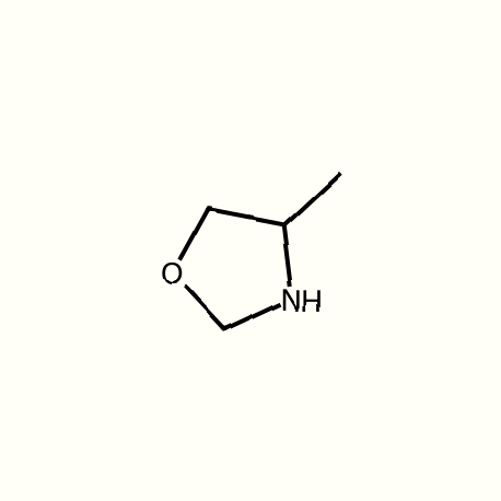 CC1COCN1